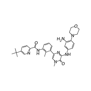 Cc1c(NC(=O)c2ccc(C(C)(C)C)cn2)cccc1-c1cn(C)c(=O)c(Nc2ccc(N3CCOCC3)c(N)c2)n1